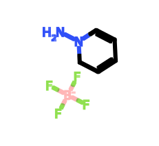 F[B-](F)(F)F.NN1C=CC=CC1